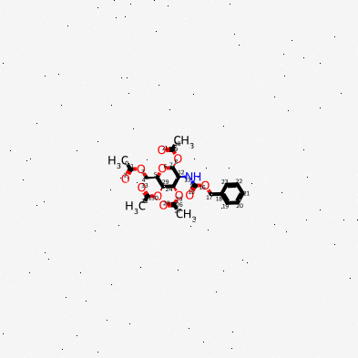 CC(=O)OC[C@H]1O[C@H](OC(C)=O)[C@@H](NC(=O)OCc2ccccc2)[C@@H](OC(C)=O)[C@@H]1OC(C)=O